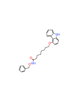 O=C(CCCCCCCOc1cccc2[nH]c3ccccc3c12)NOCc1ccccc1